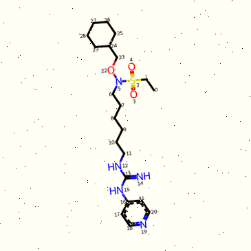 CCS(=O)(=O)N(CCCCCCNC(=N)Nc1ccncc1)OCC1CCCCC1